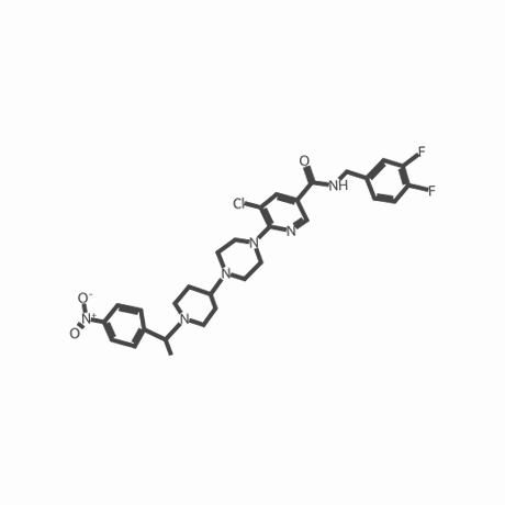 CC(c1ccc([N+](=O)[O-])cc1)N1CCC(N2CCN(c3ncc(C(=O)NCc4ccc(F)c(F)c4)cc3Cl)CC2)CC1